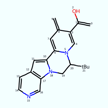 C=C(O)C1=CN2C(=CC1=C)c1cc3ccncc3n1CC2C(C)(C)C